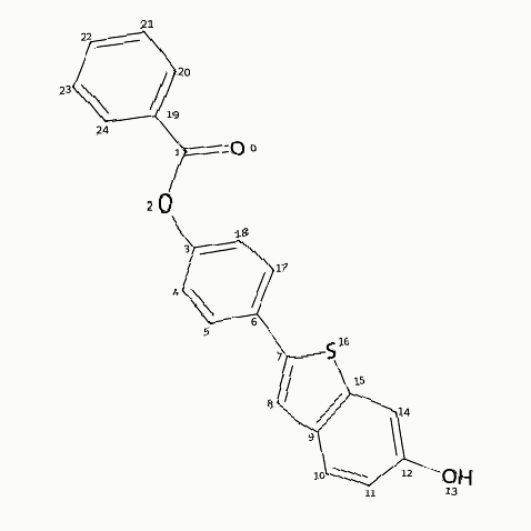 O=C(Oc1ccc(-c2cc3ccc(O)cc3s2)cc1)c1ccccc1